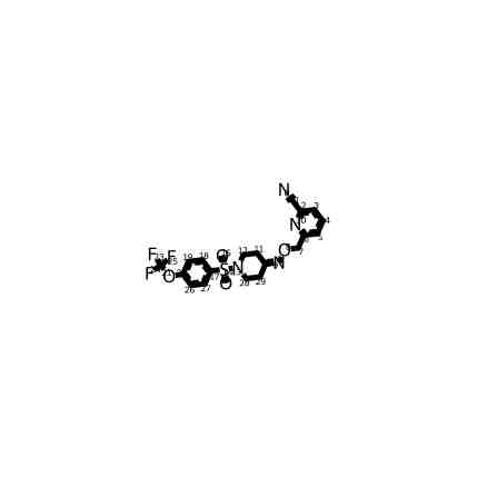 N#Cc1cccc(CON=C2CCN(S(=O)(=O)c3ccc(OC(F)(F)F)cc3)CC2)n1